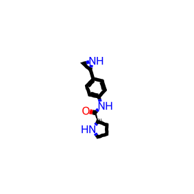 O=C(Nc1ccc(C2CN2)cc1)[C@H]1CCCN1